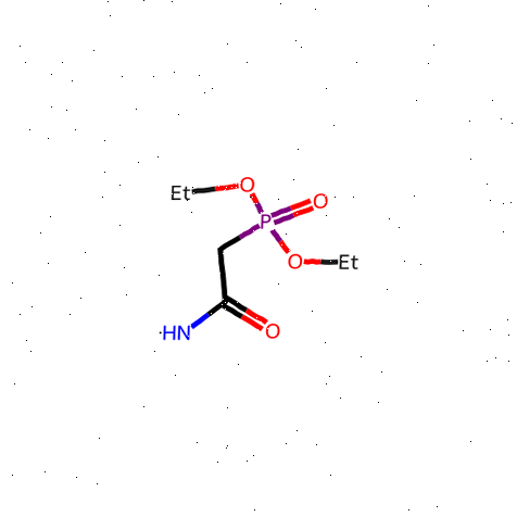 CCOP(=O)(CC([NH])=O)OCC